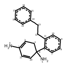 NC1=CCC(N)(c2ccccc2CCc2ccccc2)C=C1